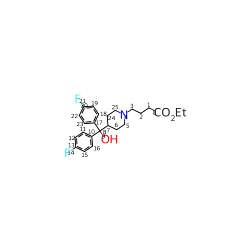 CCOC(=O)CCCN1CCC(C(O)(c2ccc(F)cc2)c2ccc(F)cc2)CC1